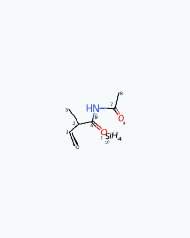 C=CC(C)C(=O)NC(C)=O.[SiH4]